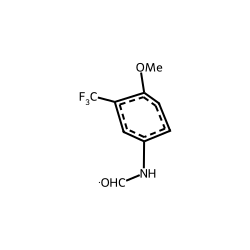 COc1ccc(N[C]=O)cc1C(F)(F)F